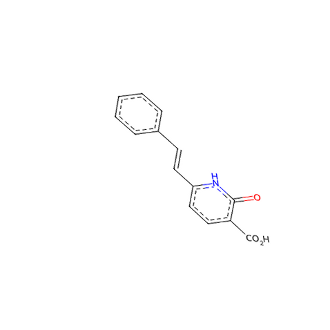 O=C(O)c1ccc(C=Cc2ccccc2)[nH]c1=O